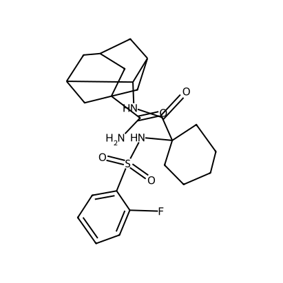 NC(=O)C12CC3CC(C1)C(NC(=O)C1(NS(=O)(=O)c4ccccc4F)CCCCC1)C(C3)C2